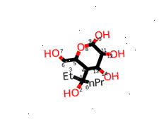 CCCC(O)(CC)C1C(CO)OC(O)C(O)C1O